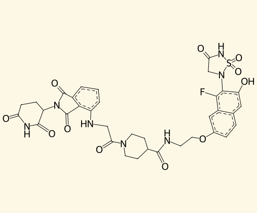 O=C1CCC(N2C(=O)c3cccc(NCC(=O)N4CCC(C(=O)NCCOc5ccc6cc(O)c(N7CC(=O)NS7(=O)=O)c(F)c6c5)CC4)c3C2=O)C(=O)N1